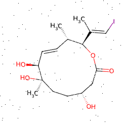 C/C(=C\I)[C@H]1OC(=O)C[C@H](O)CC[C@@](C)(O)[C@@H](O)/C=C/[C@@H]1C